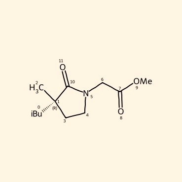 CCC(C)[C@@]1(C)CCN(CC(=O)OC)C1=O